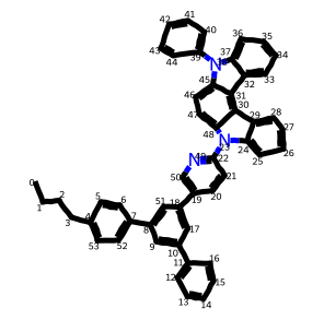 CCCCc1ccc(-c2cc(-c3ccccc3)cc(-c3ccc(-n4c5ccccc5c5c6c7ccccc7n(-c7ccccc7)c6ccc54)nc3)c2)cc1